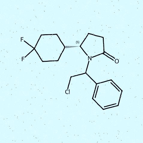 O=C1CC[C@@H](C2CCC(F)(F)CC2)N1C(CCl)c1ccccc1